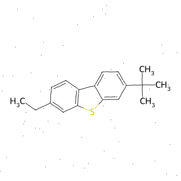 CCc1ccc2c(c1)sc1cc(C(C)(C)C)ccc12